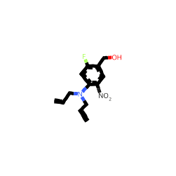 C=CCN(CC=C)c1cc(F)c(CO)cc1[N+](=O)[O-]